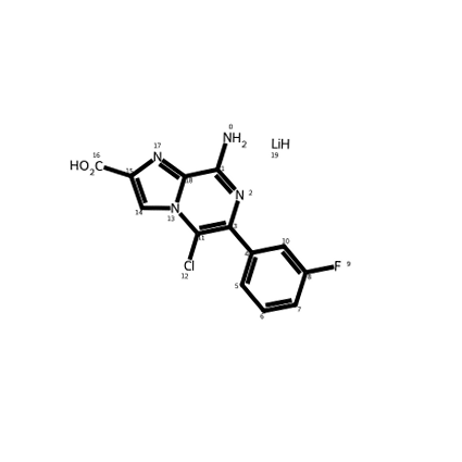 Nc1nc(-c2cccc(F)c2)c(Cl)n2cc(C(=O)O)nc12.[LiH]